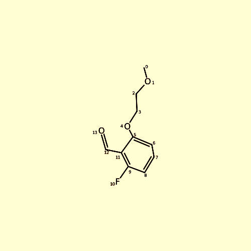 COCCOc1cccc(F)c1C=O